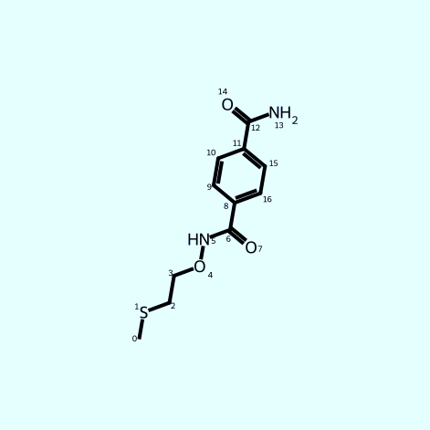 CSCCONC(=O)c1ccc(C(N)=O)cc1